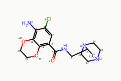 Nc1c(Cl)cc(C(=O)NCC2CN3CCN2CC3)c2c1OCCO2